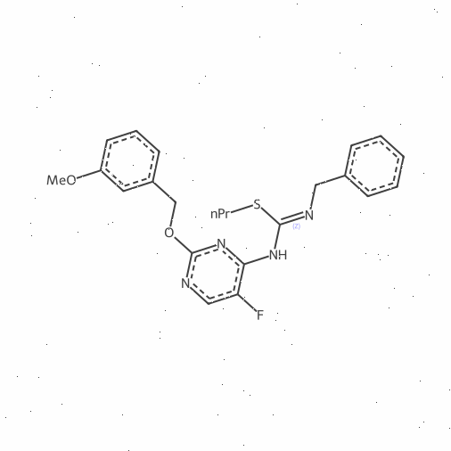 CCCS/C(=N\Cc1ccccc1)Nc1nc(OCc2cccc(OC)c2)ncc1F